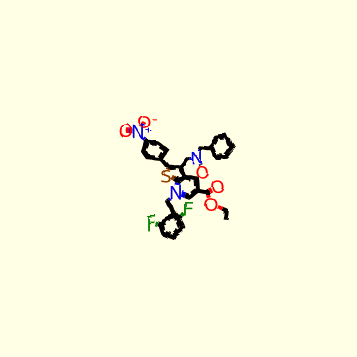 CCOC(=O)c1cn(Cc2c(F)cccc2F)c2sc(-c3ccc([N+](=O)[O-])cc3)c(CN(C)Cc3ccccc3)c2c1=O